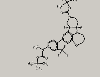 CN(C(=O)OC(C)(C)C)c1ccc(-c2cc3c4c(c2)[C@@H]2CN(C(=O)OC(C)(C)C)CC[C@@H]2N4CCCO3)c(C(F)(F)F)c1